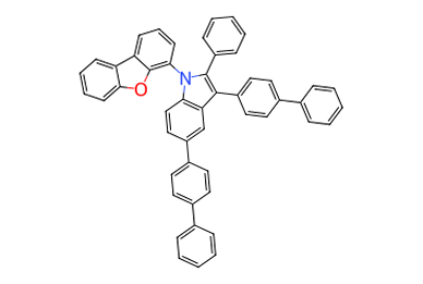 c1ccc(-c2ccc(-c3ccc4c(c3)c(-c3ccc(-c5ccccc5)cc3)c(-c3ccccc3)n4-c3cccc4c3oc3ccccc34)cc2)cc1